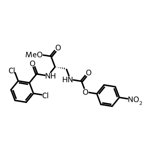 COC(=O)[C@H](CNC(=O)Oc1ccc([N+](=O)[O-])cc1)NC(=O)c1c(Cl)cccc1Cl